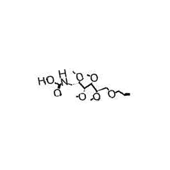 C=CCOC[C@@H](OC)[C@@H](OC)[C@H](OC)[C@H](CNC(=O)O)OC